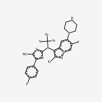 [2H]C([2H])([2H])N(c1nc(-c2ccc(F)cc2)c(C#N)s1)c1c(CC)nn2cc(F)c(N3CCNCC3)cc12